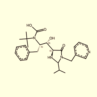 CC(C)C1N[C@@H]([C@@H](O)[C@H](Cc2ccccc2)N(C(=O)O)C(C)(C)C)C(=O)N1Cc1cccnc1